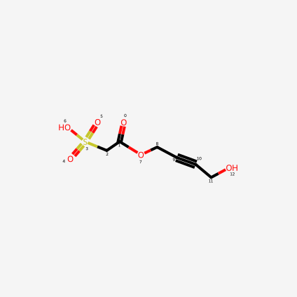 O=C(CS(=O)(=O)O)OCC#CCO